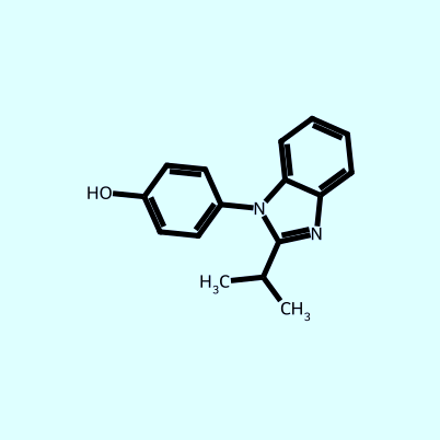 CC(C)c1nc2ccccc2n1-c1ccc(O)cc1